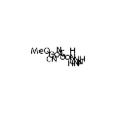 [C-]#[N+]c1cc2c(Oc3ccc(NC(=O)Nc4ncc[nH]4)cc3)ccnc2cc1OCCOC